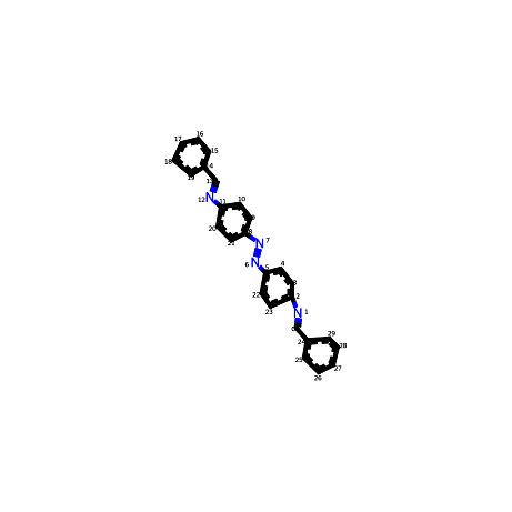 C(=N\c1ccc(/N=N/c2ccc(/N=C/c3ccccc3)cc2)cc1)/c1ccccc1